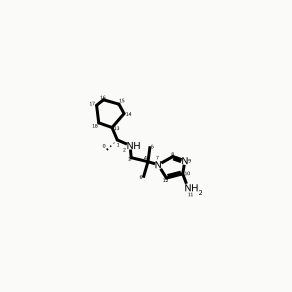 C[C@@H](NCC(C)(C)n1cnc(N)c1)C1CCCCC1